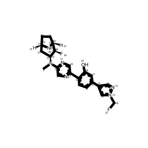 CN(c1cnc(-c2ccc(-c3cnn(CF)c3)cc2O)cn1)[C@H]1C[C@@H]2CC[C@@H](N2)[C@H]1F